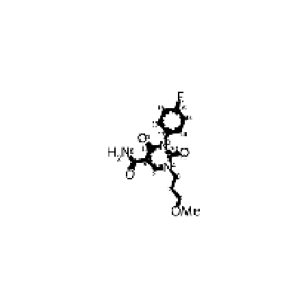 COCCCn1cc(C(N)=O)c(=O)n(-c2ccc(F)cc2)c1=O